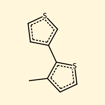 Cc1ccsc1-c1ccsc1